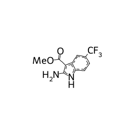 COC(=O)c1c(N)[nH]c2ccc(C(F)(F)F)cc12